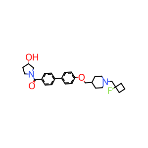 O=C(c1ccc(-c2ccc(OCC3CCN(CC4(F)CCC4)CC3)cc2)cc1)N1CC[C@H](O)C1